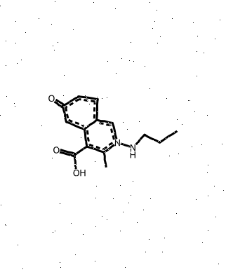 CCCNn1cc2ccc(=O)cc-2c(C(=O)O)c1C